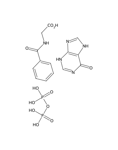 O=C(O)CNC(=O)c1ccccc1.O=P(O)(O)OP(=O)(O)O.O=c1nc[nH]c2nc[nH]c12